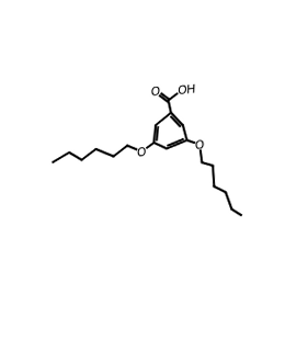 CCCCCCOc1cc(OCCCCCC)cc(C(=O)O)c1